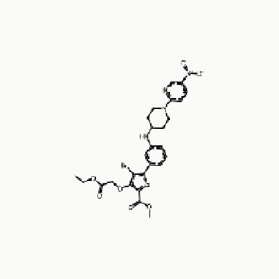 CCOC(=O)COc1c(C(=O)OC)sc(-c2cccc(NC3CCN(c4ccc([N+](=O)[O-])cn4)CC3)c2)c1Br